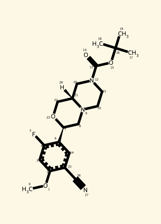 COc1cc(F)c([C@@H]2CN3CCN(C(=O)OC(C)(C)C)C[C@H]3CO2)cc1C#N